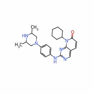 CC1CN(c2ccc(Nc3ncc4ccc(=O)n(C5CCCCC5)c4n3)cc2)CC(C)N1